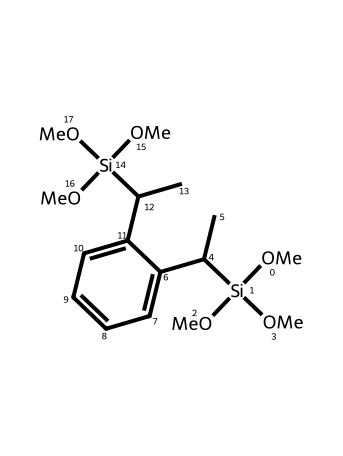 CO[Si](OC)(OC)C(C)c1ccccc1C(C)[Si](OC)(OC)OC